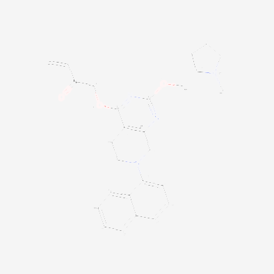 C=CC(=O)COc1nc(OC[C@@H]2CCCN2C)nc2c1CCN(c1cccc3ccccc13)C2